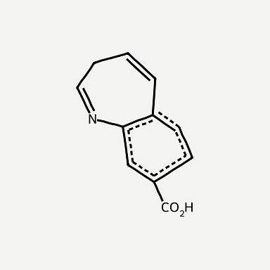 O=C(O)c1ccc2c(c1)N=CCC=C2